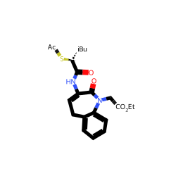 CCOC(=O)CN1C(=O)C(NC(=O)[C@@H](SC(C)=O)[C@@H](C)CC)=CCc2ccccc21